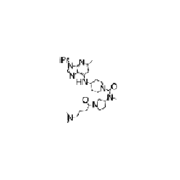 Cc1cc(NC2CCN(C(=O)N(C)C3CCN(C(=O)C=CCN(C)C)C3)CC2)c2ncn(C(C)C)c2n1